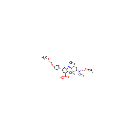 CCN(c1cc(-c2ccc(OCCOC)cc2)cc(C(=O)O)c1C)C1CCC(N(C)CCOC)CC1